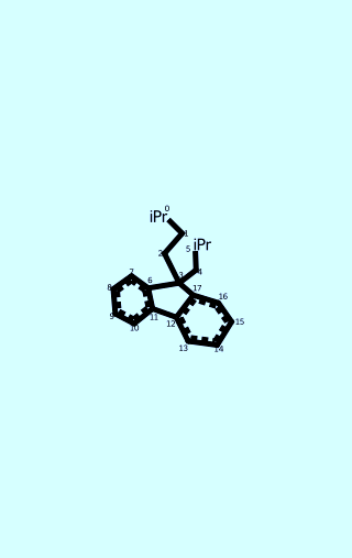 CC(C)CCC1(CC(C)C)c2ccccc2-c2ccccc21